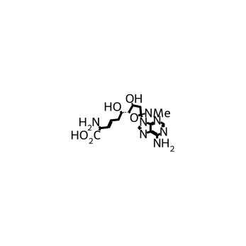 CN[C@]1(n2cnc3c(N)ncnc32)C[C@H](O)[C@@H](C(O)CC=CC(N)C(=O)O)O1